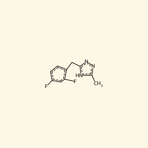 Cc1nnc(Cc2ccc(F)cc2F)[nH]1